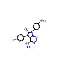 CNc1ccc(-n2c(Cl)c(-c3ccc(Cl)cc3)c3c(NC(=O)O)ncnc32)cc1